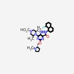 C[C@H]1CN(C(=O)O)C[C@H](C)N1c1nc(OC[C@@H]2CCCN2C)nc(C(=O)Nc2cccc3cccc(F)c23)c1N